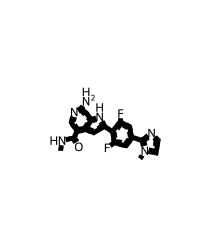 CNC(=O)c1cnc(N)c2[nH]c(-c3c(F)cc(-c4nccn4C)cc3F)cc12